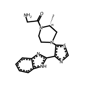 C[C@@H]1CN(c2scnc2-c2nc3ccccc3[nH]2)CCN1C(=O)CN